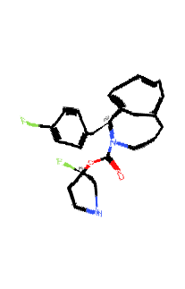 O=C(O[C@@]1(F)CCNC1)N1CCc2ccccc2[C@@H]1c1ccc(F)cc1